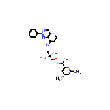 C/C(=N\OCC(C)(C)CO/N=C1\CCCc2cnc(-c3ccccc3)nc21)c1cc(C)cc(C)n1